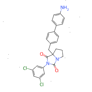 Nc1ccc(-c2ccc(CC34CCCN3C(=O)N(c3cc(Cl)cc(Cl)c3)C4=O)cc2)cc1